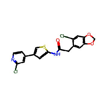 O=C(Cc1cc2c(cc1Cl)OCO2)Nc1cc(-c2ccnc(Cl)c2)cs1